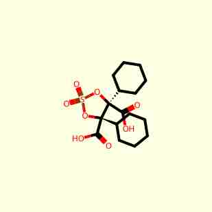 O=C(O)[C@]1(C2CCCCC2)OS(=O)(=O)O[C@]1(C(=O)O)C1CCCCC1